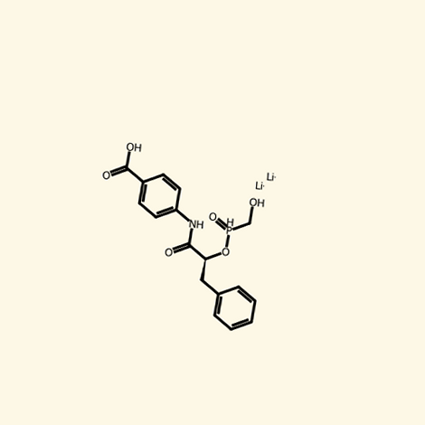 O=C(O)c1ccc(NC(=O)[C@H](Cc2ccccc2)O[PH](=O)CO)cc1.[Li].[Li]